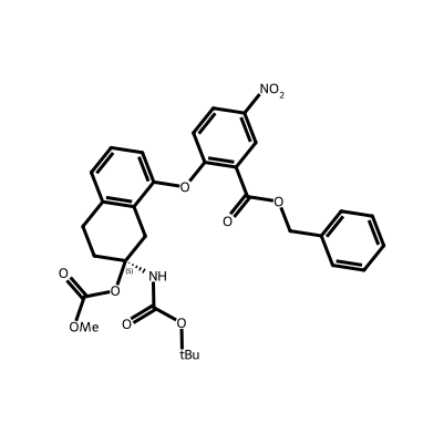 COC(=O)O[C@@]1(NC(=O)OC(C)(C)C)CCc2cccc(Oc3ccc([N+](=O)[O-])cc3C(=O)OCc3ccccc3)c2C1